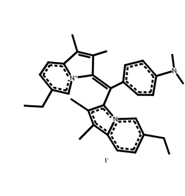 CCc1ccc2c(C)c(C)c(C(=C3C(C)=C(C)c4ccc(CC)c[n+]43)c3ccc(N(C)C)cc3)n2c1.[I-]